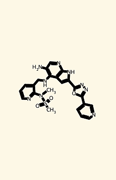 CN(c1ncccc1CNc1c(N)cnc2[nH]c(-c3nnc(-c4cccnc4)o3)cc12)S(C)(=O)=O